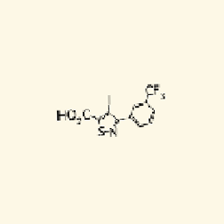 O=C(O)c1snc(-c2cccc(C(F)(F)F)c2)c1I